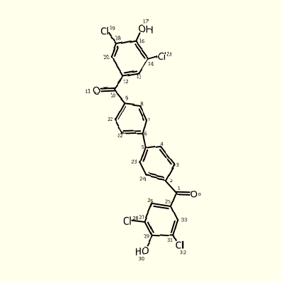 O=C(c1ccc(-c2ccc(C(=O)c3cc(Cl)c(O)c(Cl)c3)cc2)cc1)c1cc(Cl)c(O)c(Cl)c1